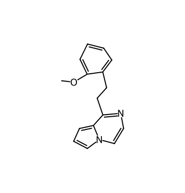 COc1ccccc1CCc1nccn2cccc12